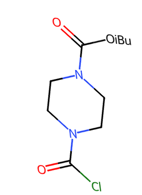 CC(C)COC(=O)N1CCN(C(=O)Cl)CC1